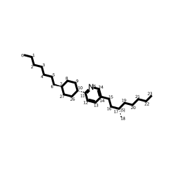 CCCCCCC[C@H]1CC[C@H](c2ccc(CC[C@@H](C)CCCCC)cn2)CC1